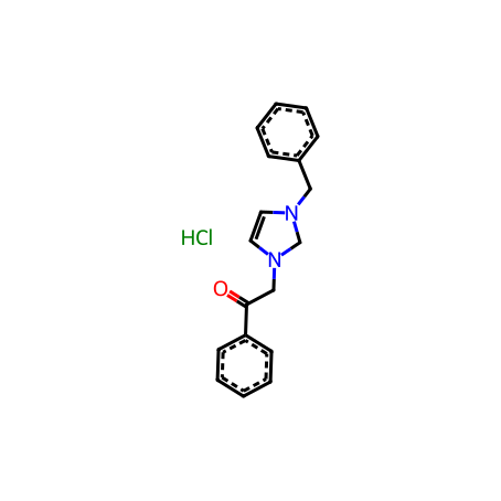 Cl.O=C(CN1C=CN(Cc2ccccc2)C1)c1ccccc1